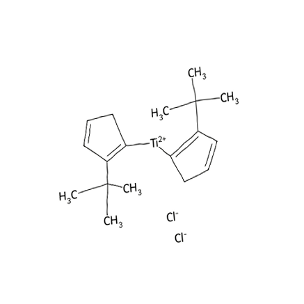 CC(C)(C)C1=[C]([Ti+2][C]2=C(C(C)(C)C)C=CC2)CC=C1.[Cl-].[Cl-]